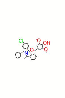 C=C1c2ccccc2C(OCc2cc(OC)c(O)c(OC)c2)(c2ccc(Cl)cc2)N1Cc1ccccc1